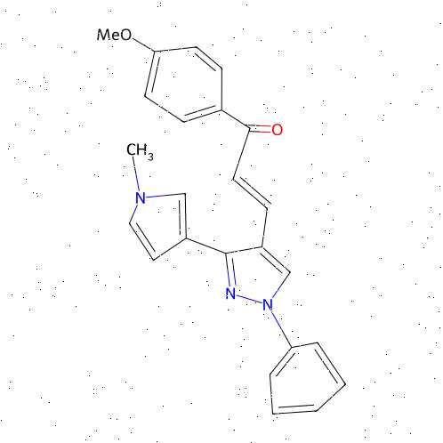 COc1ccc(C(=O)C=Cc2cn(-c3ccccc3)nc2-c2ccn(C)c2)cc1